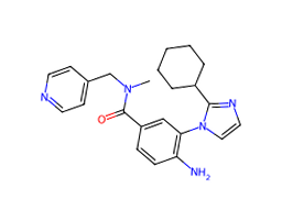 CN(Cc1ccncc1)C(=O)c1ccc(N)c(-n2ccnc2C2CCCCC2)c1